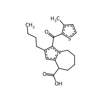 CCCCc1cc2n(c1C(=O)c1sccc1C)CCCCC2C(=O)O